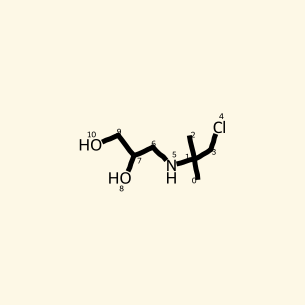 CC(C)(CCl)NCC(O)CO